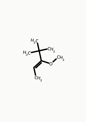 C/C=C(\OC)C(C)(C)C